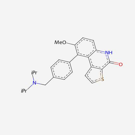 COc1ccc2[nH]c(=O)c3sccc3c2c1-c1ccc(CN(C(C)C)C(C)C)cc1